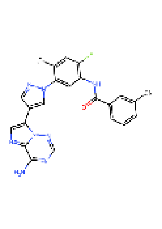 Cc1cc(F)c(NC(=O)c2cccc(C#N)c2)cc1-n1cc(-c2cnc3c(N)ncnn23)cn1